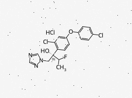 CC(F)[C@@](O)(Cn1cncn1)c1ccc(Oc2ccc(Cl)cc2)cc1Cl.Cl